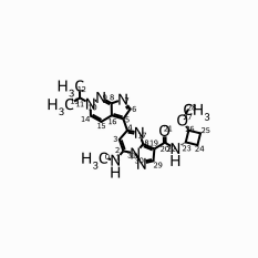 CNc1cc(-c2cnc3nn(C(C)C)ccc2-3)nc2c(C(=O)N[C@H]3CC[C@@H]3OC)cnn12